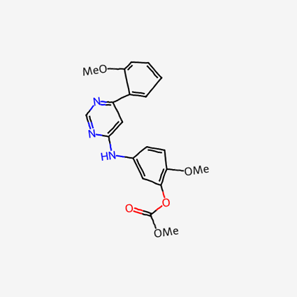 COC(=O)Oc1cc(Nc2cc(-c3ccccc3OC)ncn2)ccc1OC